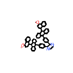 COc1ccc(-c2c3ccccc3c(-c3ccc(-c4nccnc4-c4ccc(-c5c6ccccc6c(-c6ccc(OC)c7ccccc67)c6ccccc56)cc4)cc3)c3ccccc23)c2ccccc12